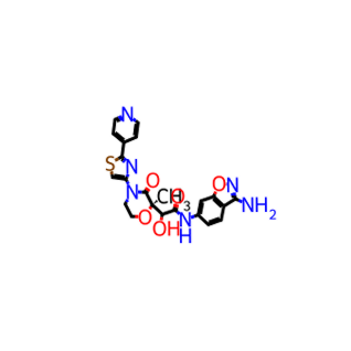 C[C@]1(C(O)C(=O)Nc2ccc3c(N)noc3c2)OCCN(c2csc(-c3ccncc3)n2)C1=O